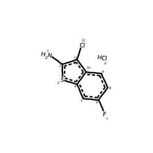 Cl.Nc1sc2cc(F)ccc2c1Cl